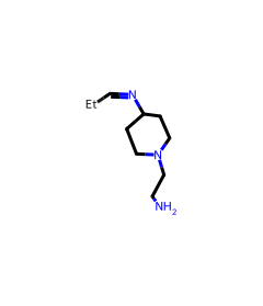 CC/C=N\C1CCN(CCN)CC1